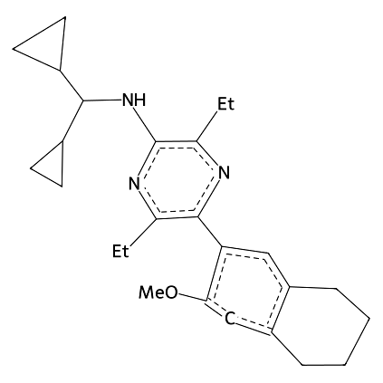 CCc1nc(-c2cc3c(cc2OC)CCCC3)c(CC)nc1NC(C1CC1)C1CC1